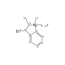 CCC1c2ccccc2[N+](C)(C)C1C.[I-]